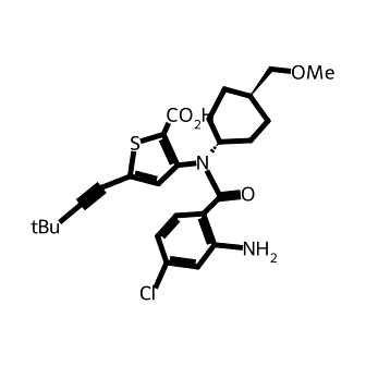 COC[C@H]1CC[C@H](N(C(=O)c2ccc(Cl)cc2N)c2cc(C#CC(C)(C)C)sc2C(=O)O)CC1